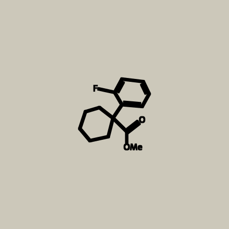 COC(=O)C1(c2ccccc2F)CCCCC1